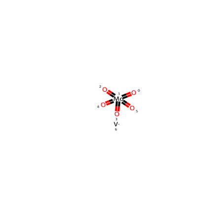 [O]=[Mo](=[O])(=[O])(=[O])=[O].[V]